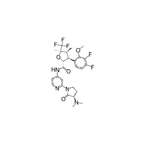 COc1c([C@H]2[C@H](C(=O)Nc3ccnc(N4CC[C@@H](N(C)C)C4=O)c3)O[C@@](C)(C(F)(F)F)[C@H]2C)ccc(F)c1F